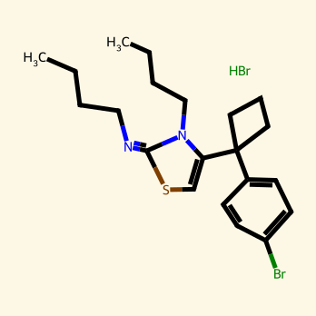 Br.CCCCN=c1scc(C2(c3ccc(Br)cc3)CCC2)n1CCCC